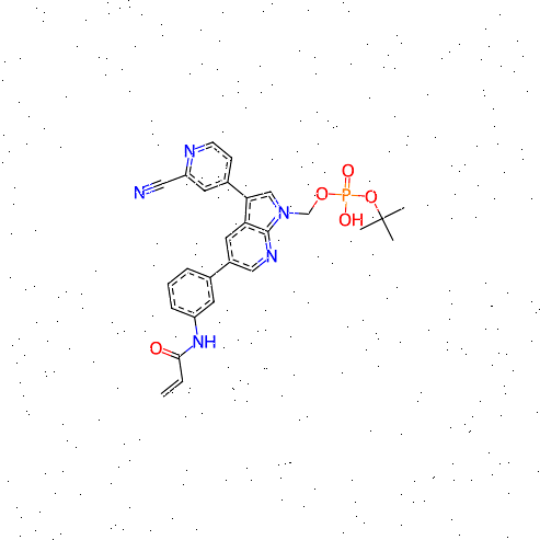 C=CC(=O)Nc1cccc(-c2cnc3c(c2)c(-c2ccnc(C#N)c2)cn3COP(=O)(O)OC(C)(C)C)c1